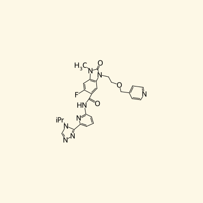 CC(C)n1cnnc1-c1cccc(NC(=O)c2cc3c(cc2F)n(C)c(=O)n3CCOCc2ccncc2)n1